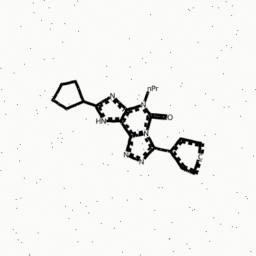 CCCn1c(=O)n2c(-c3ccccc3)nnc2c2[nH]c(C3CCCC3)nc21